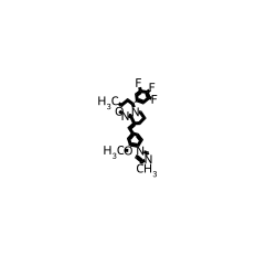 COc1cc(/C=C2\CCCN3C2=NOC(C)C[C@@H]3c2cc(F)c(F)c(F)c2)ccc1-n1cnc(C)c1